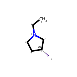 CCN1CC[C@@H](I)C1